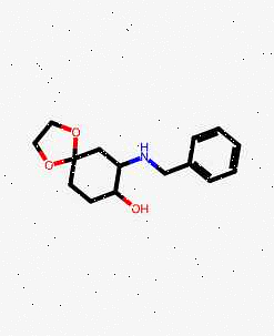 OC1CCC2(CC1NCc1ccccc1)OCCO2